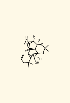 CC1(C)O[C@@H]2[C@H]3CCC4[C@]56C=CCC(C)(C)C5[C@H](O)C(OC6)(O1)[C@]42C(=O)C31CN1